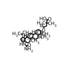 C=C(C)[C@@H]1CC[C@]2(NC(N)=O)CC[C@]3(C)[C@H](CC[C@@H]4[C@@]5(C)CC[C@H](OC(=O)CC(C)(C)C(=O)O)C(C)(C)[C@@H]5CC[C@]43C)[C@@H]12